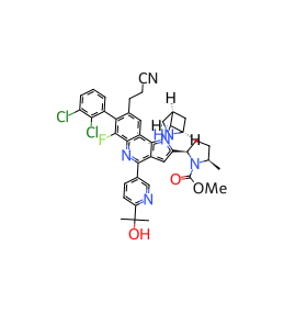 COC(=O)N1[C@H](C)CC[C@@H]1c1cc2c(-c3ccc(C(C)(C)O)nc3)nc3c(F)c(-c4cccc(Cl)c4Cl)c(CCC#N)cc3c2n1[C@H]1[C@H]2CN[C@@H]1C2